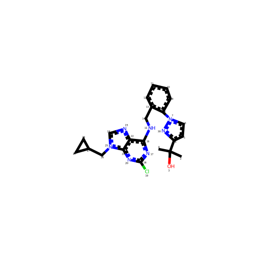 CC(C)(O)c1ccn(-c2ccccc2CNc2nc(Cl)nc3c2ncn3CC2CC2)n1